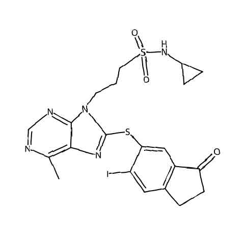 Cc1ncnc2c1nc(Sc1cc3c(cc1I)CCC3=O)n2CCCS(=O)(=O)NC1CC1